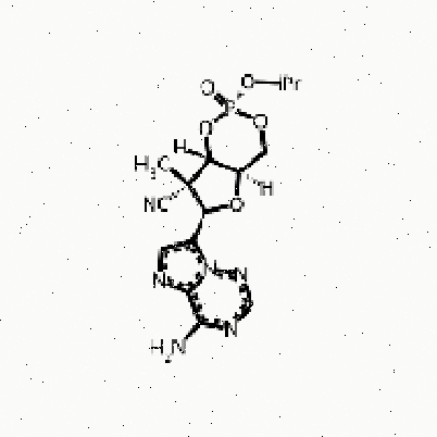 CC(C)O[P@]1(=O)OC[C@H]2O[C@@H](c3cnc4c(N)ncnn34)[C@](C)(C#N)[C@@H]2O1